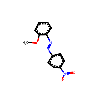 COc1ccccc1/N=N/c1ccc([N+](=O)[O-])cc1